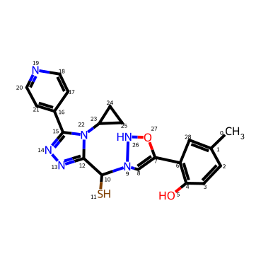 Cc1ccc(O)c(C2=CN(C(S)c3nnc(-c4ccncc4)n3C3CC3)NO2)c1